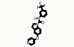 O=C(Nc1cccc(C(F)(F)F)c1)N1CCc2cc(Oc3ccncc3)ccc21